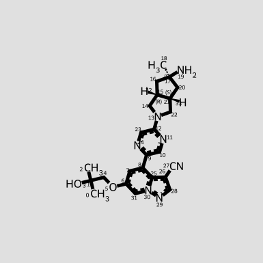 CC(C)(O)COc1cc(-c2cnc(N3C[C@@H]4C[C@@](C)(N)C[C@@H]4C3)cn2)c2c(C#N)cnn2c1